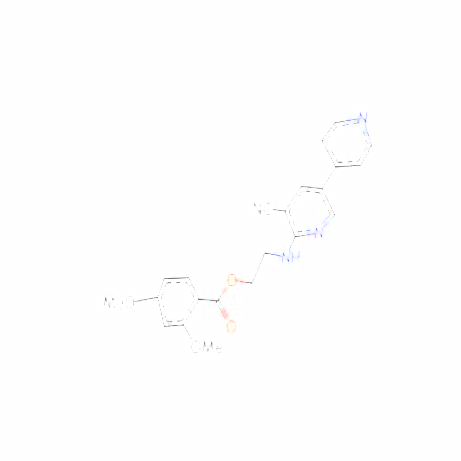 COc1ccc(C(=O)OCCNc2ncc(-c3ccncc3)cc2C#N)c(OC)c1